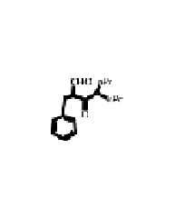 CCCC(CCC)C(=O)C([C]=O)Cc1ccccc1